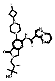 CC(C)(O)[C@H](F)CN1Cc2cc(NC(=O)c3cnn4cccnc34)c(N3CCN(C4CC(F)C4)CC3)cc2C1=O